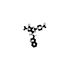 CC(=O)N1CCN(c2nc(N[C@H](C)c3cnc4ccccc4c3)c3c(n2)C(=O)N(C(C)C)C3)CC1